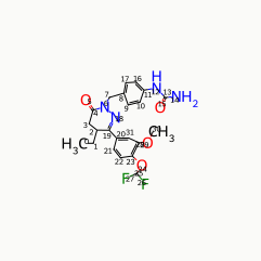 CCC1CC(=O)N(Cc2ccc(NC(N)=O)cc2)N=C1c1ccc(OC(F)F)c(OC)c1